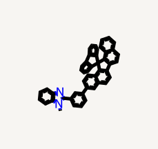 Cn1c(-c2cccc(-c3ccc4c5c(ccc4c3)-c3ccc4ccccc4c3C53c4ccccc4-c4ccccc43)c2)nc2ccccc21